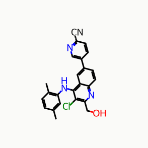 Cc1ccc(C)c(Nc2c(Cl)c(CO)nc3ccc(-c4ccc(C#N)nc4)cc23)c1